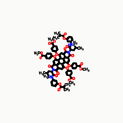 C=C(C)C(=O)Oc1cccc(NC(=O)C(CC(C)C)N2C(=O)c3cc(Oc4ccc(C(=O)OC)cc4)c4c5c(Oc6ccc(C(=O)OC)cc6)cc6c7c(cc(Oc8ccc(C(=O)OC)cc8)c(c8c(Oc9ccc(C(=O)OC)cc9)cc(c3c48)C2=O)c75)C(=O)N(C(CC(C)C)C(=O)Nc2cccc(OC(=O)C(=C)C)c2)C6=O)c1